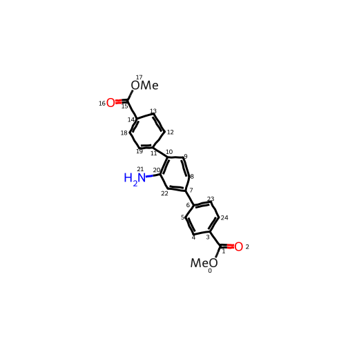 COC(=O)c1ccc(-c2ccc(-c3ccc(C(=O)OC)cc3)c(N)c2)cc1